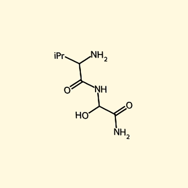 CC(C)C(N)C(=O)NC(O)C(N)=O